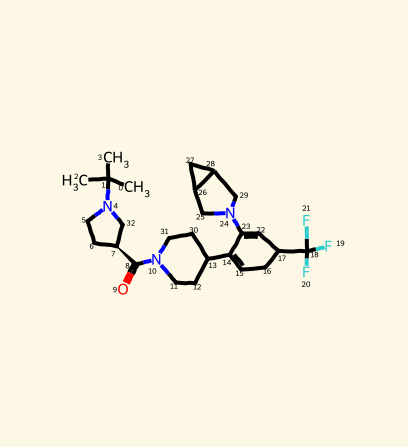 CC(C)(C)N1CC[C@H](C(=O)N2CCC(C3=CCC(C(F)(F)F)C=C3N3CC4CC4C3)CC2)C1